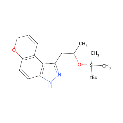 CC(Cc1n[nH]c2ccc3c(c12)C=CCO3)O[Si](C)(C)C(C)(C)C